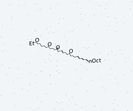 CCCCCCCC/C=C/C=C/C=C/CCCC(=O)CC/C=C/CC(=O)CCCC(=O)CCCCCC(=O)CC